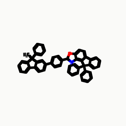 CC1(c2ccccc2)c2ccccc2-c2ccc(-c3ccc(C4Nc5c(ccc6c5C(c5ccccc5)(c5ccccc5)c5ccccc5-6)O4)cc3)cc21